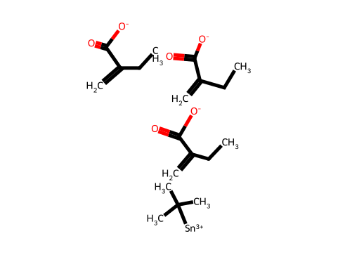 C=C(CC)C(=O)[O-].C=C(CC)C(=O)[O-].C=C(CC)C(=O)[O-].C[C](C)(C)[Sn+3]